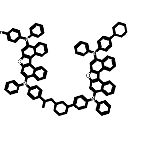 CC(C)c1ccc(N(c2ccccc2)c2cc3oc4cc(N(c5ccccc5)c5ccc(C(C)CC6CCCC(c7ccc(N(c8ccccc8)c8cc9oc%10cc(N(c%11ccccc%11)c%11ccc(C%12CCCCC%12)cc%11)c%11ccccc%11c%10c9c9ccccc89)cc7)C6)cc5)c5ccccc5c4c3c3ccccc23)cc1